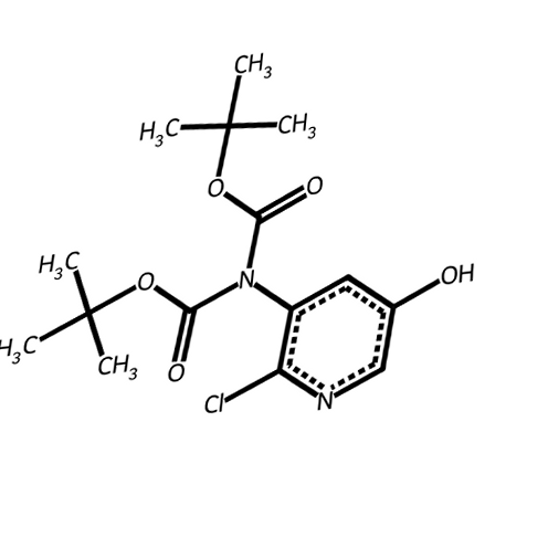 CC(C)(C)OC(=O)N(C(=O)OC(C)(C)C)c1cc(O)cnc1Cl